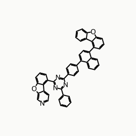 c1ccc(-c2nc(-c3ccc(-c4ccc(-c5cccc6oc7ccccc7c56)c5ccccc45)cc3)nc(-c3cccc4oc5cnccc5c34)n2)cc1